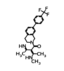 CN/C(C)=C(\C(C)=N)C(=O)N1CCc2ccc(-c3ccc(C(F)(F)F)cc3)cc2C1